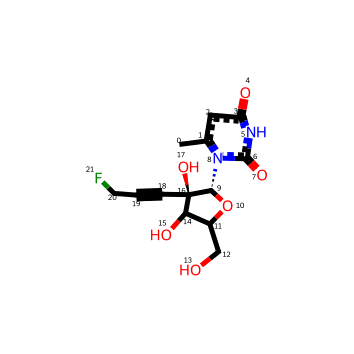 Cc1cc(=O)[nH]c(=O)n1[C@@H]1OC(CO)C(O)[C@]1(O)C#CCF